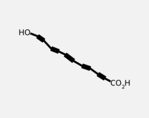 O=C(O)C#CC#CC#CC#CC#CO